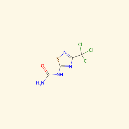 NC(=O)Nc1nc(C(Cl)(Cl)Cl)ns1